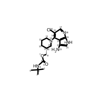 CC(C)(C)NC(=O)OC[C@@H]1CCCN(c2c(Cl)cnc3[nH]cc(N)c23)C1